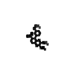 COc1cccc(-c2c([N+](=O)[O-])ccc3nc(N)c(N)nc23)c1